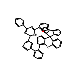 c1ccc(C2=NC(c3cccc(-c4ccccc4-c4cccc5c4Oc4ccccc4C54c5ccccc5-c5ccccc54)c3)NC(c3ccccc3)=N2)cc1